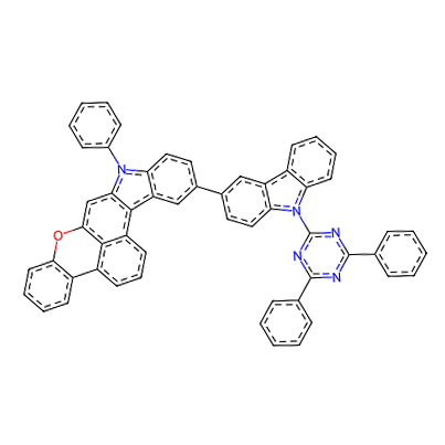 c1ccc(-c2nc(-c3ccccc3)nc(-n3c4ccccc4c4cc(-c5ccc6c(c5)c5c7cccc8c7c(cc5n6-c5ccccc5)Oc5ccccc5-8)ccc43)n2)cc1